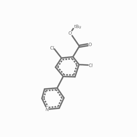 CC(C)(C)OC(=O)c1c(Cl)cc(-c2ccncc2)cc1Cl